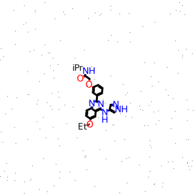 CCOc1ccc2nc(-c3cccc(OCC(=O)NC(C)C)c3)nc(Nc3cn[nH]c3)c2c1